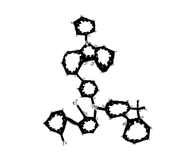 CCc1ccccc1-c1cccc(N(c2ccc(-c3cccc4c3c3ccccc3n4-c3ccccc3)cc2)c2ccc3c(c2)-c2ccccc2C3(C)C)c1CC